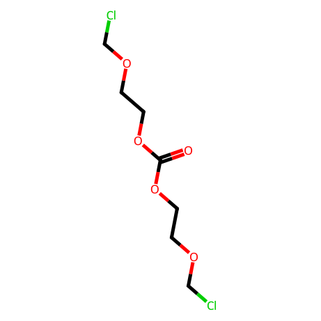 O=C(OCCOCCl)OCCOCCl